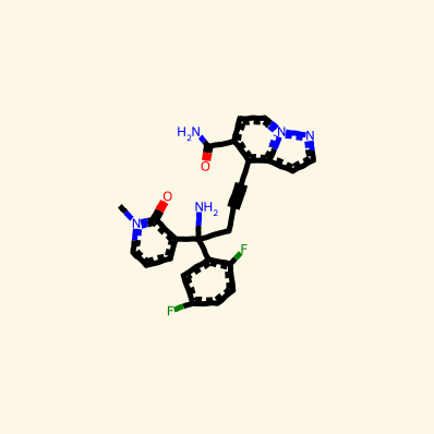 Cn1cccc(C(N)(CC#Cc2c(C(N)=O)ccn3nccc23)c2cc(F)ccc2F)c1=O